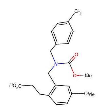 COc1ccc(CCC(=O)O)c(CN(Cc2ccc(C(F)(F)F)cc2)C(=O)OC(C)(C)C)c1